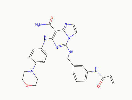 C=CC(=O)Nc1cccc(CNc2nc(Nc3ccc(N4CCOCC4)cc3)c(C(N)=O)c3nccn23)c1